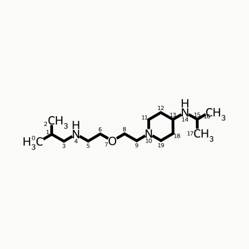 CC(C)CNCCOCCN1CCC(NC(C)C)CC1